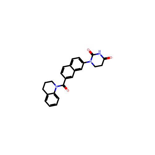 O=C1CCN(c2ccc3ccc(C(=O)N4CCCc5ccccc54)cc3c2)C(=O)N1